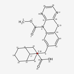 COC(=O)N1c2cc(CN3CC4CCCC(C3)C4CC(=O)O)ccc2Sc2nccnc21